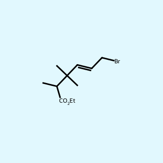 CCOC(=O)C(C)C(C)(C)/C=C/CBr